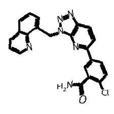 NC(=O)c1cc(-c2ccc3nnn(Cc4cccc5cccnc45)c3n2)ccc1Cl